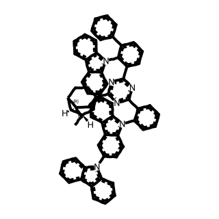 C[C@@H]1CC2CCC(c3nc(-c4ccccc4-n4c5ccccc5c5cc(-n6c7ccccc7c7ccccc76)ccc54)nc(-c4cccc(-c5ccccc5)c4-n4c5ccccc5c5ccccc54)n3)(C1)C[C@H]2C